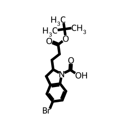 CC(C)(C)OC(=O)CCC1Cc2cc(Br)ccc2N1C(=O)O